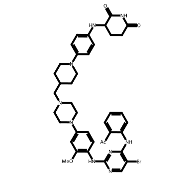 COc1cc(N2CCN(CC3CCN(c4ccc(NC5CCC(=O)NC5=O)cc4)CC3)CC2)ccc1Nc1ncc(Br)c(Nc2ccccc2C(C)=O)n1